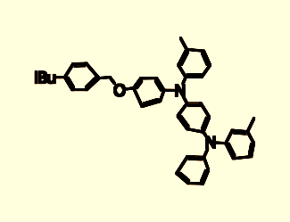 CCC(C)c1ccc(COc2ccc(N(c3ccc(N(c4ccccc4)c4cccc(C)c4)cc3)c3cccc(C)c3)cc2)cc1